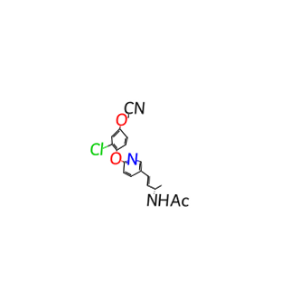 CC(=O)N[C@@H](C)/C=C/c1ccc(Oc2ccc(OCC#N)cc2Cl)nc1